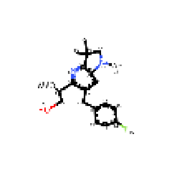 COC(CO)c1nc2c(cc1Cc1ccc(F)cc1)N(C(C)=O)CC2(C)C